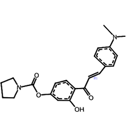 CN(C)c1ccc(/C=C/C(=O)c2ccc(OC(=O)N3CCCC3)cc2O)cc1